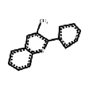 Cc1cc2ccccc2nc1-c1[c]cccc1